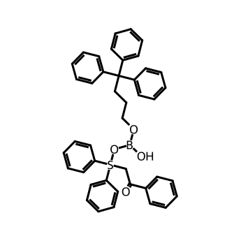 O=C(CS(OB(O)OCCCC(c1ccccc1)(c1ccccc1)c1ccccc1)(c1ccccc1)c1ccccc1)c1ccccc1